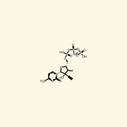 C#C[C@@]1(O)C(F)[C@@H](COP(=O)(O)OP(=O)(O)OP(=O)(O)O)O[C@H]1n1ccc(N)nc1=S